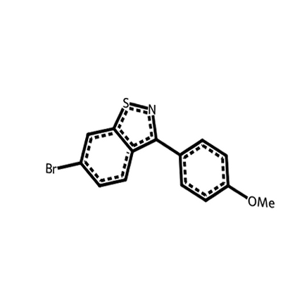 COc1ccc(-c2nsc3cc(Br)ccc23)cc1